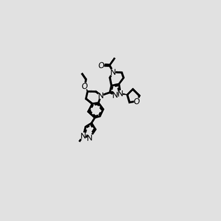 CCO[C@H]1Cc2cc(-c3cnn(C)c3)ccc2N(c2nn([C@H]3CCOC3)c3c2CN(C(C)=O)CC3)C1